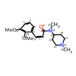 COc1cccc(/C=C\C(=O)N(C)C2CCN(C)CC2)c1OC